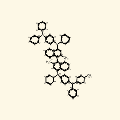 Cc1cc(N(c2ccccc2)c2ccc(N(c3ccccc3)c3ccccc3)cc2)c2ccccc2c1-c1c(C)cc(N(c2ccc(C(C3=CCC(C)C=C3)c3ccccc3)cc2)C2C=CC=CC2)c2ccccc12